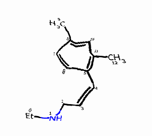 CCNC/C=C\c1ccc(C)cc1C